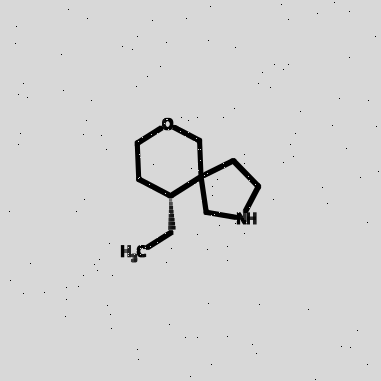 CC[C@@H]1CCOCC12CCNC2